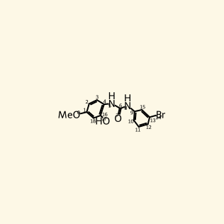 COc1ccc(NC(=O)Nc2cccc(Br)c2)c(O)c1